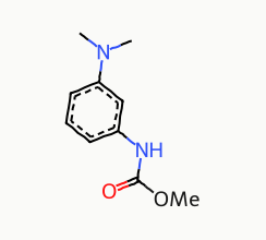 COC(=O)Nc1cccc(N(C)C)c1